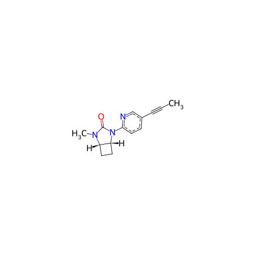 CC#Cc1ccc(N2C(=O)N(C)[C@H]3CC[C@H]32)nc1